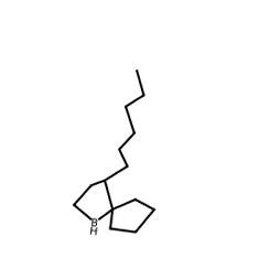 CCCCCCC1CCBC12CCCC2